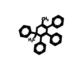 CC1=C(c2ccccc2)C(c2ccccc2)=C(c2ccccc2)C(C)(c2ccccc2)C1